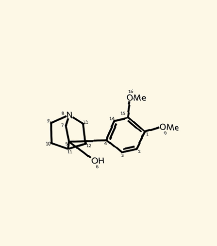 COc1ccc(C2(O)CN3CCC2CC3)cc1OC